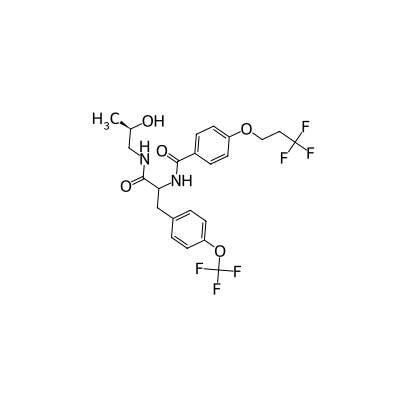 C[C@@H](O)CNC(=O)C(Cc1ccc(OC(F)(F)F)cc1)NC(=O)c1ccc(OCCC(F)(F)F)cc1